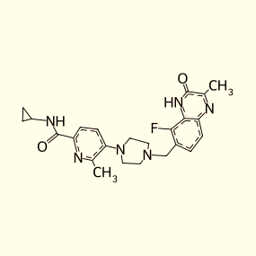 Cc1nc(C(=O)NC2CC2)ccc1N1CCN(Cc2ccc3nc(C)c(=O)[nH]c3c2F)CC1